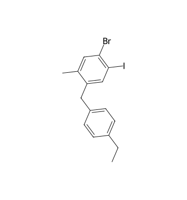 CCc1ccc(Cc2cc(I)c(Br)cc2C)cc1